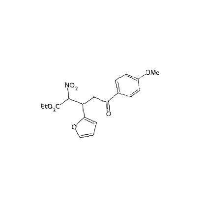 CCOC(=O)C(C(CC(=O)c1ccc(OC)cc1)c1ccco1)[N+](=O)[O-]